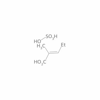 CCC=C(C)C(=O)O.O=S(=O)(O)O